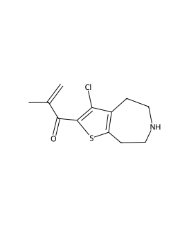 C=C(C)C(=O)c1sc2c(c1Cl)CCNCC2